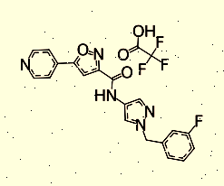 O=C(Nc1cnn(Cc2cccc(F)c2)c1)c1cc(-c2ccncc2)on1.O=C(O)C(F)(F)F